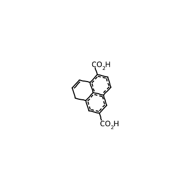 O=C(O)c1cc2c3c(c(C(=O)O)ccc3c1)C=CC2